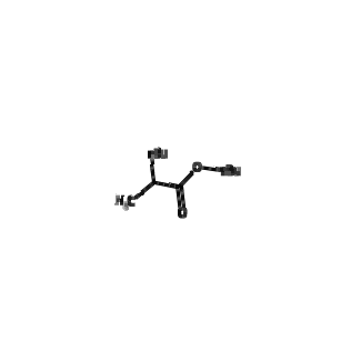 [CH2]CCCC(C)C(=O)OCCCC